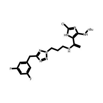 C=C(NCCCn1nnc(Cc2cc(F)cc(F)c2)n1)c1[nH]c(Cl)nc1NCCCC